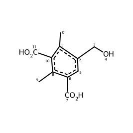 Cc1c(CO)cc(C(=O)O)c(C)c1C(=O)O